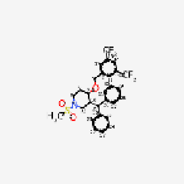 CS(=O)(=O)N1CC[C@@H](OCc2cc(C(F)(F)F)cc(C(F)(F)F)c2)[C@@H](C(c2ccccc2)c2ccccc2)C1